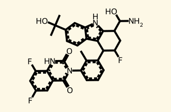 Cc1c(C2c3c([nH]c4cc(C(C)(C)O)ccc34)C(C(N)O)CC2F)cccc1-n1c(=O)[nH]c2c(F)cc(F)cc2c1=O